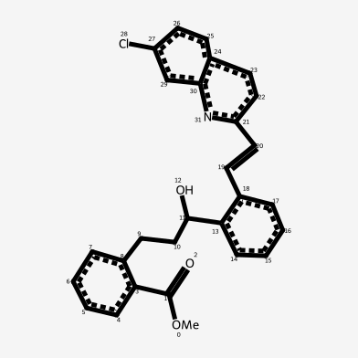 COC(=O)c1ccccc1CCC(O)c1ccccc1C=Cc1ccc2ccc(Cl)cc2n1